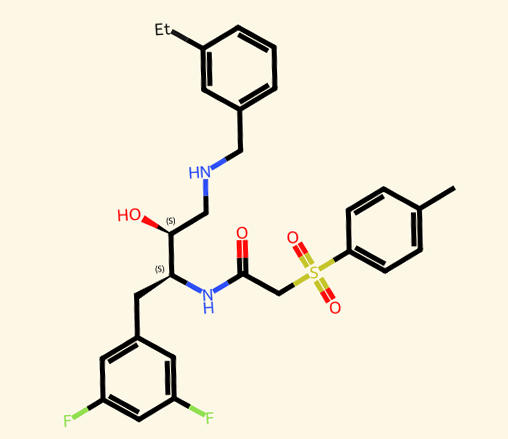 CCc1cccc(CNC[C@H](O)[C@H](Cc2cc(F)cc(F)c2)NC(=O)CS(=O)(=O)c2ccc(C)cc2)c1